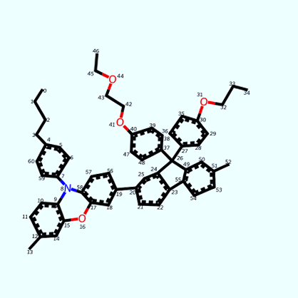 CCCCc1ccc(N2c3ccc(C)cc3Oc3cc(-c4ccc5c(c4)C(c4ccc(OCCC)cc4)(c4ccc(OCCOCC)cc4)c4cc(C)ccc4-5)ccc32)cc1